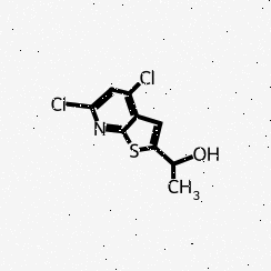 CC(O)c1cc2c(Cl)cc(Cl)nc2s1